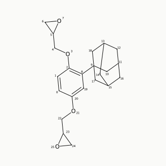 c1cc(OCC2CO2)c(C23CC4CC(CC(C4)C2)C3)cc1OCC1CO1